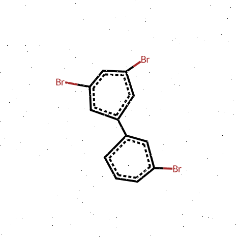 Brc1cccc(-c2cc(Br)cc(Br)c2)c1